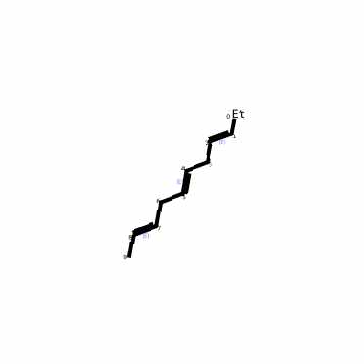 [CH2]C/C=C/C/C=C/C/C=C/C